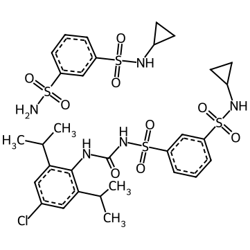 CC(C)c1cc(Cl)cc(C(C)C)c1NC(=O)NS(=O)(=O)c1cccc(S(=O)(=O)NC2CC2)c1.NS(=O)(=O)c1cccc(S(=O)(=O)NC2CC2)c1